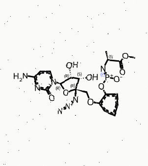 COC(=O)[C@H](C)/N=[P+](\[O-])Oc1ccccc1OC[C@@]1(N=[N+]=[N-])O[C@@H](n2ccc(N)nc2=O)[C@H](O)[C@@H]1O